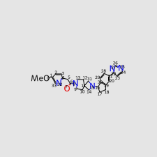 COc1ccc(CC(=O)N2CCC3(CC2)CN(C2CCc4cc(-c5ccncn5)ccc42)C3)nc1